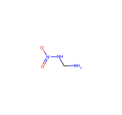 N[CH]N[N+](=O)[O-]